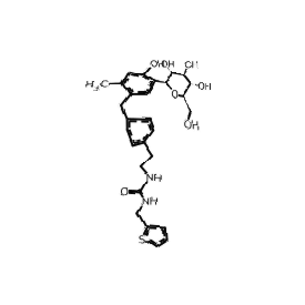 Cc1cc(O)c([C@@H]2O[C@H](CO)[C@@H](O)[C@H](O)[C@H]2O)cc1Cc1ccc(CCNC(=O)NCc2cccs2)cc1